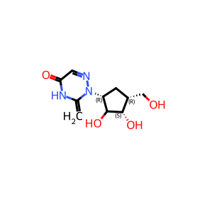 C=C1NC(=O)C=NN1[C@@H]1C[C@H](CO)[C@H](O)C1O